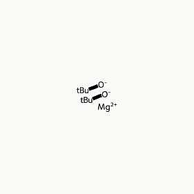 CC(C)(C)[O-].CC(C)(C)[O-].[Mg+2]